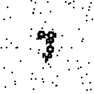 FC(F)Oc1ccc(-c2cc3nccc(-c4cccnc4)c3o2)cc1